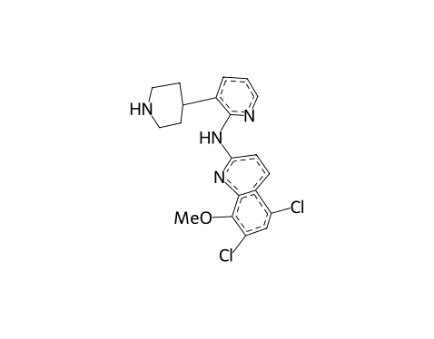 COc1c(Cl)cc(Cl)c2ccc(Nc3ncccc3C3CCNCC3)nc12